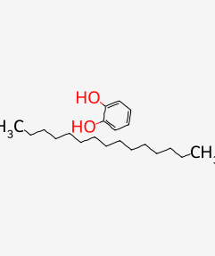 CCCCCCCCCCCCCCC.Oc1ccccc1O